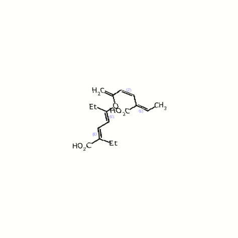 C=C(/C=C\C(=C/C)C(=O)O)O/C(=C/C=C(\CC)C(=O)O)CC